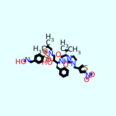 CC(C)CN(C[C@H](O)[C@H](Cc1ccccc1)NC(=O)[C@H](C(C)C)N1CCN(Cc2csc([N+](=O)[O-])c2)C1=O)S(=O)(=O)c1ccc(C=NO)cc1